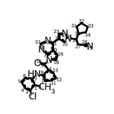 Cc1c(Cl)cccc1Nc1ccccc1C(=O)n1ccc2c(-c3cnn(C(CC#N)C4CCCC4)c3)ncnc21